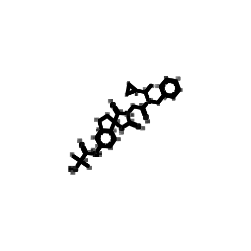 CC(C1CC1)N(Cc1ccccc1)C(=O)CN1C(=O)OC2(CCc3cc(NC(=O)C(C)(C)O)ccc32)C1=O